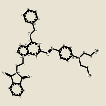 O=C1c2ccccc2C(=O)N1CCn1cnc2c(OCc3ccccc3)nc(/N=N/c3ccc(N(CCO)CCO)cc3)nc21